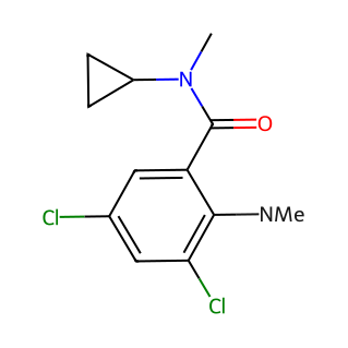 CNc1c(Cl)cc(Cl)cc1C(=O)N(C)C1CC1